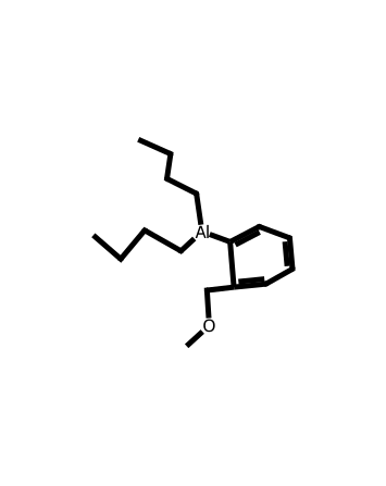 CCC[CH2][Al]([CH2]CCC)[c]1ccccc1COC